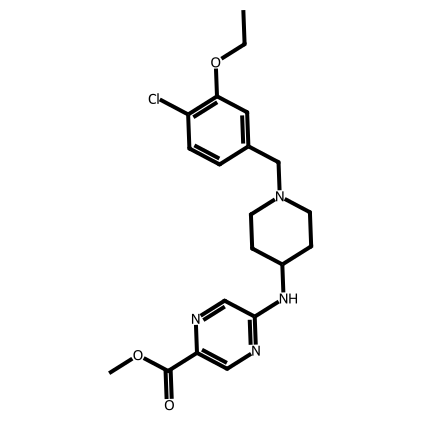 CCOc1cc(CN2CCC(Nc3cnc(C(=O)OC)cn3)CC2)ccc1Cl